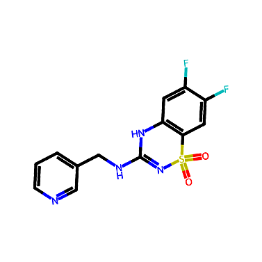 O=S1(=O)N=C(NCc2cccnc2)Nc2cc(F)c(F)cc21